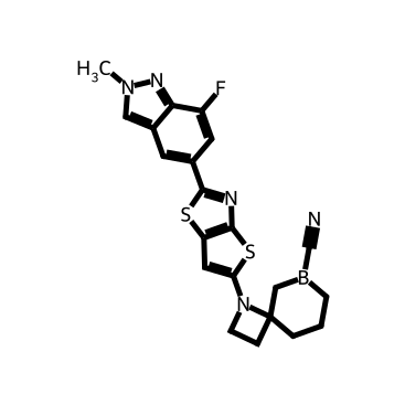 Cn1cc2cc(-c3nc4sc(N5CCC56CCCB(C#N)C6)cc4s3)cc(F)c2n1